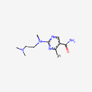 CC(C)c1nc(N(C)CCN(C)C)ncc1C(N)=O